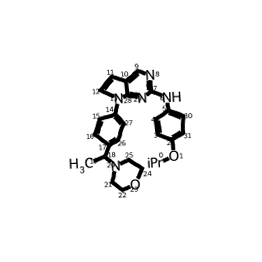 CC(C)Oc1ccc(Nc2ncc3ccn(-c4ccc(C(C)N5CCOCC5)cc4)c3n2)cc1